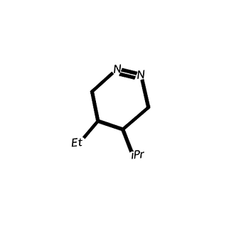 CCC1CN=NCC1C(C)C